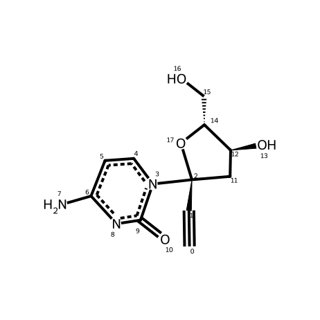 C#C[C@]1(n2ccc(N)nc2=O)C[C@H](O)[C@@H](CO)O1